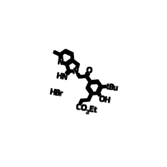 Br.CCOC(=O)CCc1cc(C(=O)CN2Cc3ccc(C)nc3C2=N)cc(C(C)(C)C)c1O